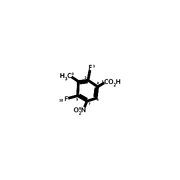 Cc1c(F)c(C(=O)O)cc([N+](=O)[O-])c1F